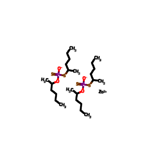 CCCCC(C)OP([O-])(=S)SC(C)CCCC.CCCCC(C)OP([O-])(=S)SC(C)CCCC.[Zn+2]